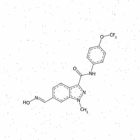 Cn1nc(C(=O)Nc2ccc(OC(F)(F)F)cc2)c2ccc(/C=N/O)cc21